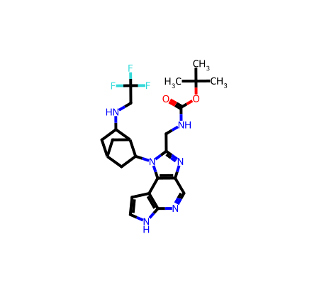 CC(C)(C)OC(=O)NCc1nc2cnc3[nH]ccc3c2n1C1CC2CC(NCC(F)(F)F)C1C2